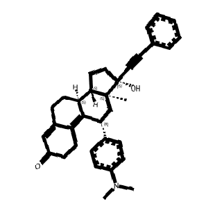 CN(C)c1ccc([C@H]2C[C@@]3(C)[C@@H](CC[C@@]3(O)C#Cc3ccccc3)[C@@H]3CCC4=CC(=O)CCC4=C32)cc1